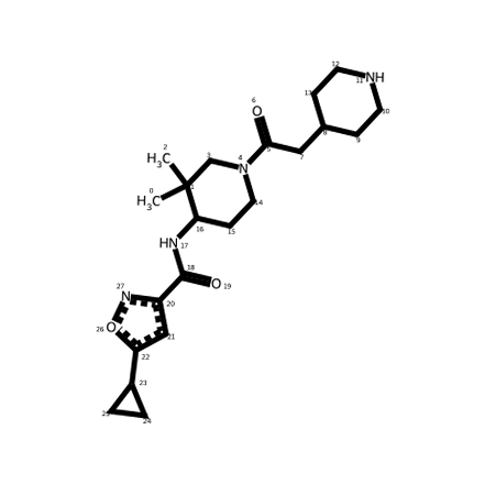 CC1(C)CN(C(=O)CC2CCNCC2)CCC1NC(=O)c1cc(C2CC2)on1